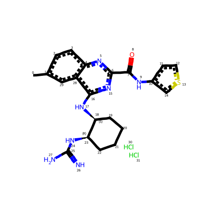 Cc1ccc2nc(C(=O)Nc3ccsc3)nc(N[C@H]3CCCC[C@H]3NC(=N)N)c2c1.Cl.Cl